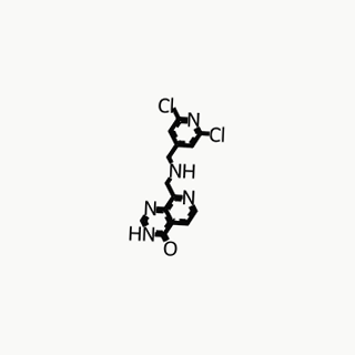 O=c1[nH]cnc2c(CNCc3cc(Cl)nc(Cl)c3)nccc12